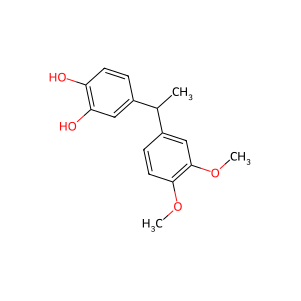 COc1ccc(C(C)c2ccc(O)c(O)c2)cc1OC